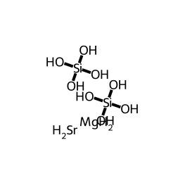 O[Si](O)(O)O.O[Si](O)(O)O.[MgH2].[SrH2]